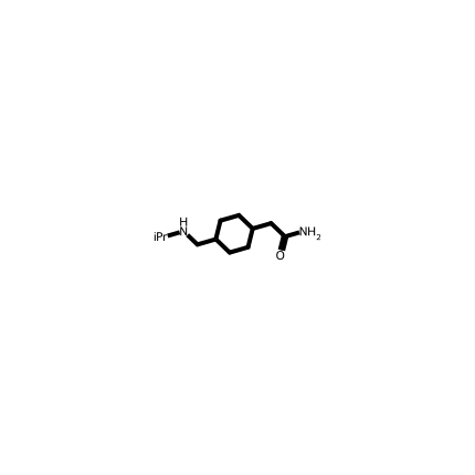 CC(C)NCC1CCC(CC(N)=O)CC1